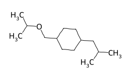 CC(C)CC1CCC(COC(C)C)CC1